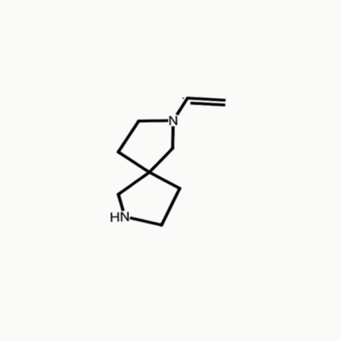 C=[C]N1CCC2(CCNC2)C1